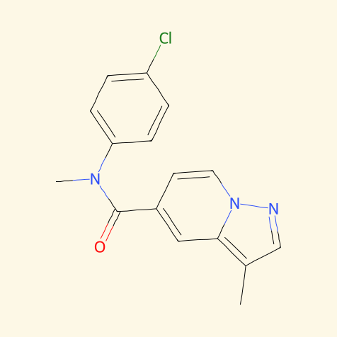 Cc1cnn2ccc(C(=O)N(C)c3ccc(Cl)cc3)cc12